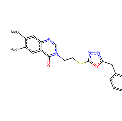 COc1cc2ncn(CCSc3nnc(Cc4ccc(F)cc4)o3)c(=O)c2cc1OC